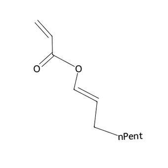 C=CC(=O)OC=CCCCCCC